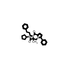 CC1(C(=O)NC2CCCC2)Cn2c(ccc2-c2ccccc2)C(=O)N1CCCc1ccccc1